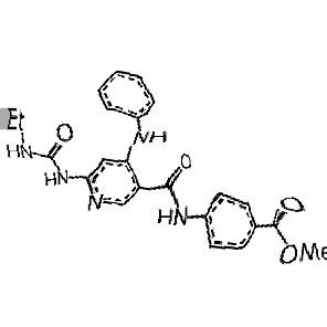 CCNC(=O)Nc1cc(Nc2ccccc2)c(C(=O)Nc2ccc(C(=O)OC)cc2)cn1